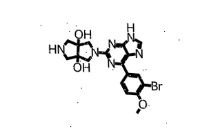 COc1ccc(-c2nc(N3CC4(O)CNCC4(O)C3)nc3[nH]cnc23)cc1Br